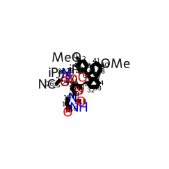 COc1ccc(C(OC[C@H]2O[C@@H](n3ccc(=O)[nH]c3=O)C[C@@H]2OP(OCCC#N)N(C(C)C)C(C)C)(c2ccccc2)c2ccc(OC)cc2)cc1